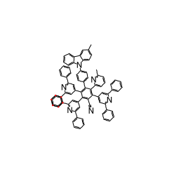 Cc1ccc2c(c1)c1ccccc1n2-c1ccc(-c2c(-c3cc(-c4ccccc4)nc(-c4ccccc4)c3)c(-c3cc(-c4ccccc4)nc(-c4ccccc4)c3)c(C#N)c(-c3cc(-c4ccccc4)nc(-c4ccccc4)c3)c2-c2cccc(C)n2)cc1